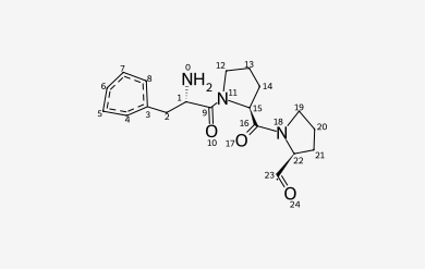 N[C@@H](Cc1ccccc1)C(=O)N1CCC[C@H]1C(=O)N1CCC[C@H]1[C]=O